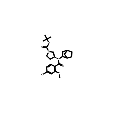 COc1cc(Cl)ccc1C(=O)N(C1CC2CCC1C2)[C@H]1CCN(C(=O)OC(C)(C)C)C1